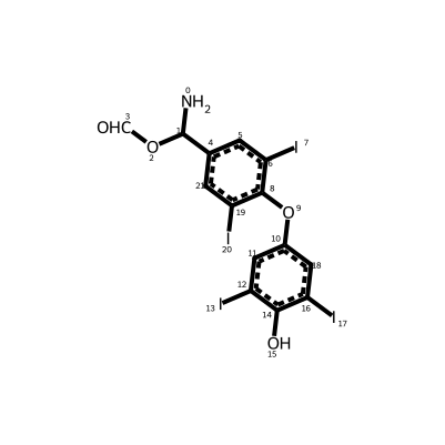 NC(OC=O)c1cc(I)c(Oc2cc(I)c(O)c(I)c2)c(I)c1